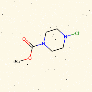 CC(C)(C)OC(=O)N1CCN(Cl)CC1